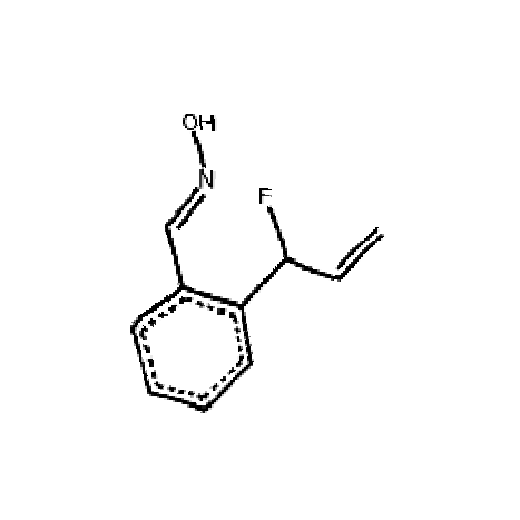 C=CC(F)c1ccccc1C=NO